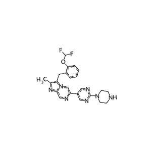 Cc1nc2cnc(-c3cnc(N4CCNCC4)nc3)cn2c1Cc1ccccc1OC(F)F